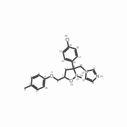 Cc1ccc(OCC2CC(Cn3ccnc3)(c3ccc(Cl)cc3)N(C)O2)cc1